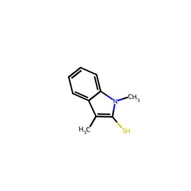 Cc1c(S)n(C)c2ccccc12